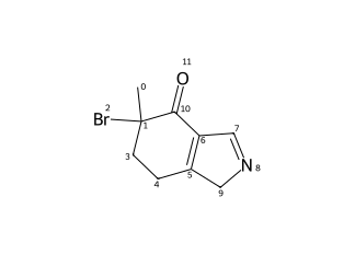 CC1(Br)CCC2=C(C=NC2)C1=O